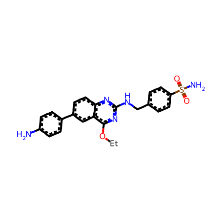 CCOc1nc(NCc2ccc(S(N)(=O)=O)cc2)nc2ccc(-c3ccc(N)cc3)cc12